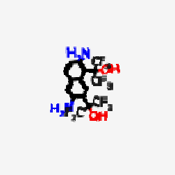 Nc1cc2ccc(N)c(C(O)(C(F)(F)F)C(F)(F)F)c2cc1C(O)(C(F)(F)F)C(F)(F)F